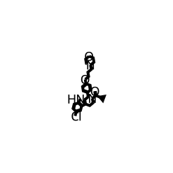 O=C(C1CC1)N1CCc2c([nH]c3ccc(Cl)cc23)C1c1ccc(OCCCN2CCOCC2)cc1